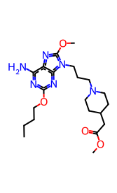 CCCCOc1nc(N)c2nc(OC)n(CCCN3CCC(CC(=O)OC)CC3)c2n1